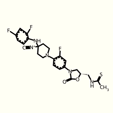 [C-]#[N+]C1(Nc2ccc(F)cc2F)CCN(c2ccc(N3C[C@H](CNC(C)=S)OC3=O)cc2F)CC1